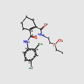 CC[S+]([O-])CCNC(=O)C1=C(C(=O)Nc2ccc(Cl)cc2F)CCCC1